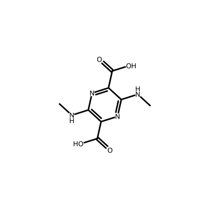 CNc1nc(C(=O)O)c(NC)nc1C(=O)O